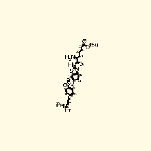 CC(C)N(CCNc1ccc(S(=O)(=O)Oc2ccc3nc(NC(=O)C(N)CCCCC(=O)OC(C)(C)C)sc3c2)cc1)C(C)C